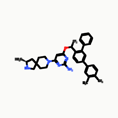 Cc1ccc(-c2ccc(C(Oc3cc(N4CCC5(CC4)CN[C@H](C(=O)O)C5)nc(N)n3)C(F)(F)F)c(-c3ccccc3)c2)cc1C